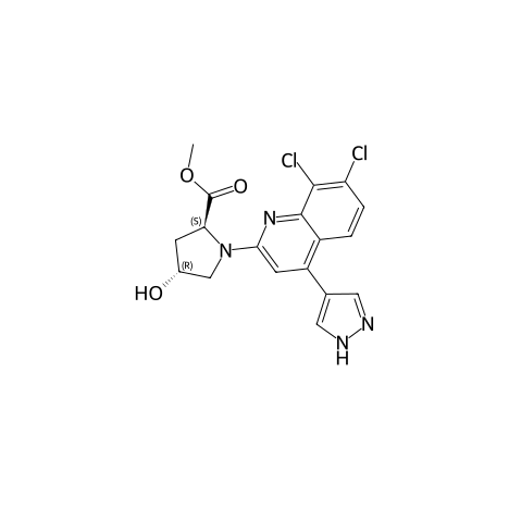 COC(=O)[C@@H]1C[C@@H](O)CN1c1cc(-c2cn[nH]c2)c2ccc(Cl)c(Cl)c2n1